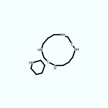 C1CCNCC1.C1CNCCNCCCNCCNC1